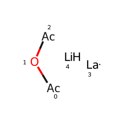 CC(=O)OC(C)=O.[La].[LiH]